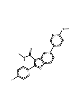 CNC(=O)c1c(-c2ccc(F)cc2)oc2ccc(-c3cnc(OC)nc3)cc12